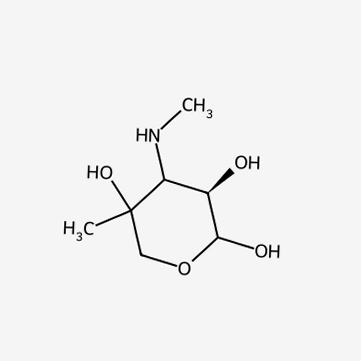 CNC1[C@@H](O)C(O)OCC1(C)O